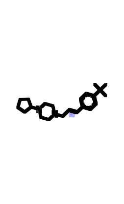 CC(C)(C)c1ccc(/C=C/CN2CCN(C3CCCC3)CC2)cc1